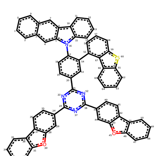 c1ccc2cc3c(cc2c1)c1ccccc1n3-c1ccc(-c2nc(-c3ccc4c(c3)oc3ccccc34)nc(-c3ccc4c(c3)oc3ccccc34)n2)cc1-c1cccc2sc3ccccc3c12